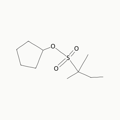 CCC(C)(C)S(=O)(=O)OC1CCCC1